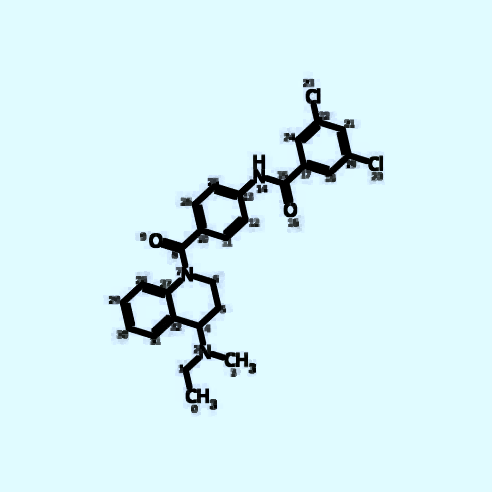 CCN(C)C1CCN(C(=O)c2ccc(NC(=O)c3cc(Cl)cc(Cl)c3)cc2)c2ccccc21